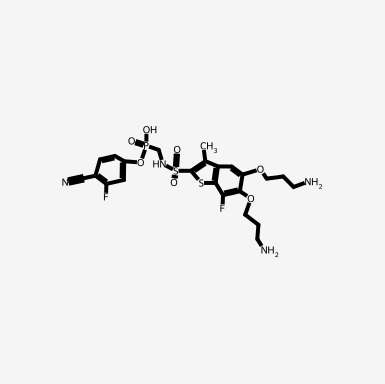 Cc1c(S(=O)(=O)NCP(=O)(O)Oc2ccc(C#N)c(F)c2)sc2c(F)c(OCCCN)c(OCCCN)cc12